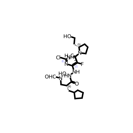 C=C(/C(F)=C(\N=C(/N)Cl)NNC(=O)[C@H](CC1CCCC1)CN(O)C=O)N1CCC[C@H]1CCO